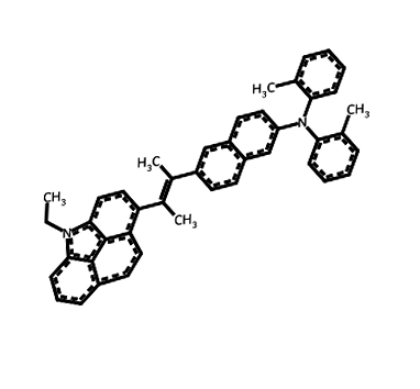 CCn1c2cccc3ccc4c(/C(C)=C(\C)c5ccc6cc(N(c7ccccc7C)c7ccccc7C)ccc6c5)ccc1c4c32